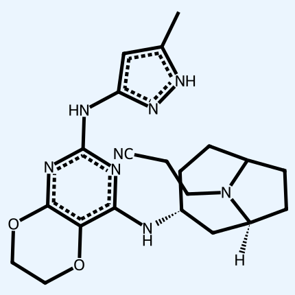 Cc1cc(Nc2nc(N[C@@H]3CCC4CC[C@@H](C3)N4CCC#N)c3c(n2)OCCO3)n[nH]1